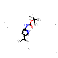 C=C(C)c1ccc(NC(=O)OC(C)(C)C)nc1